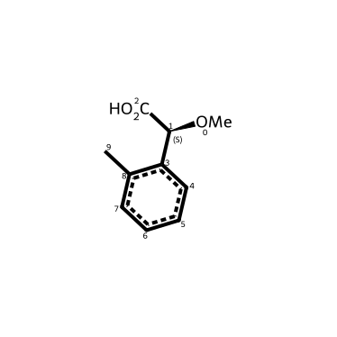 CO[C@H](C(=O)O)c1ccccc1C